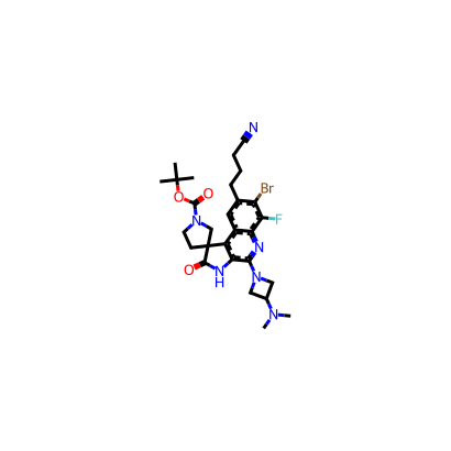 CN(C)C1CN(c2nc3c(F)c(Br)c(CCCC#N)cc3c3c2NC(=O)C32CCN(C(=O)OC(C)(C)C)C2)C1